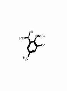 CCCCOc1c(Br)cc(C)cc1B(O)O